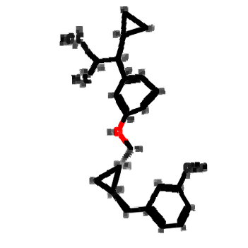 COc1cccc(C[C@H]2C[C@@H]2COc2cccc(C(C3CC3)C(C)C(=O)O)c2)c1